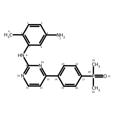 Cc1ccc(N)cc1Nc1nccc(-c2ccc(P(C)(C)=O)cc2)n1